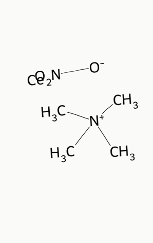 C[N+](C)(C)C.O=[N+]([O-])[O-].[Ce]